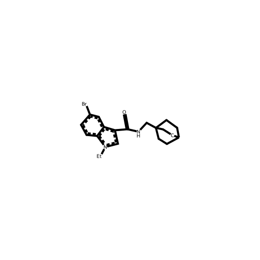 CCn1cc(C(=O)NCC23CCC(CC2)CC3)c2cc(Br)ccc21